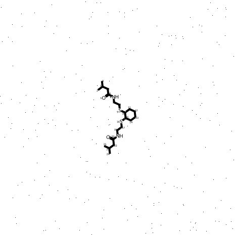 CC(C)CC(=O)NCCSC1CCCCC1SCCNC(=O)CC(C)C